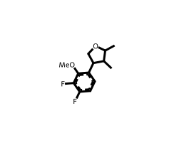 COc1c(C2COC(C)C2C)ccc(F)c1F